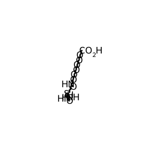 O=C(O)CCOCCOCCOCCOCCOCCOCCNC(=O)CCCC[C@@H]1SC[C@@H]2NC(=O)N[C@@H]21